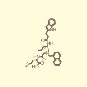 CC[C@H](C)[C@@H](CN(CC(=O)N[C@@H](CCSC)C(=O)O)Cc1cccc2ccccc12)NC(=O)CCc1cc2ccccc2[nH]1